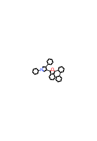 c1ccc(-c2ccccc2-c2oc(-c3cn(-c4ccccc4)cc3-c3ccccc3)c3ccccc23)cc1